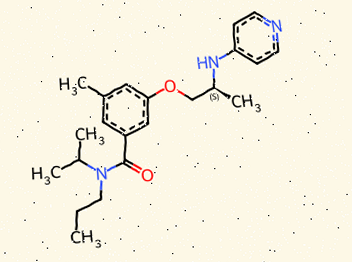 CCCN(C(=O)c1cc(C)cc(OC[C@H](C)Nc2ccncc2)c1)C(C)C